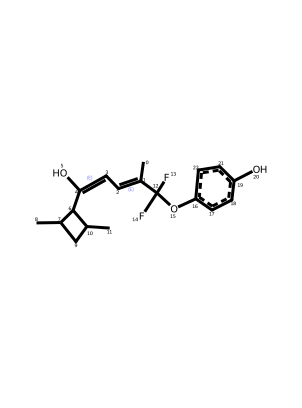 C/C(=C\C=C(\O)C1C(C)CC1C)C(F)(F)Oc1ccc(O)cc1